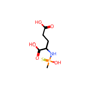 CP(O)(=S)NC(CCC(=O)O)C(=O)O